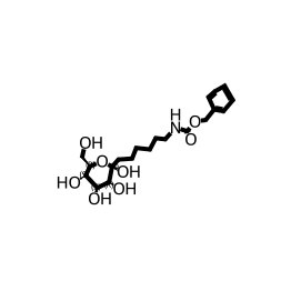 O=C(NCCCCCC[C@@]1(O)O[C@H](CO)[C@@H](O)[C@H](O)[C@H]1O)OCc1ccccc1